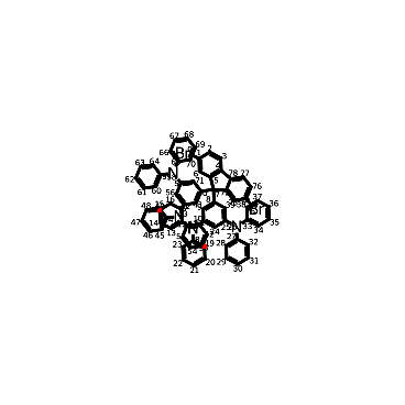 Brc1ccc2c(c1)C(c1cc(N(C3=CC=CCC3)c3ccccc3)cc(N(c3ccccc3)c3ccccc3)c1)(c1cc(N(c3ccccc3)c3ccccc3)cc(N(c3ccccc3)c3ccccc3)c1)c1cc(Br)ccc1-2